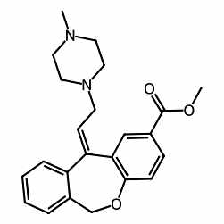 COC(=O)c1ccc2c(c1)C(=CCN1CCN(C)CC1)c1ccccc1CO2